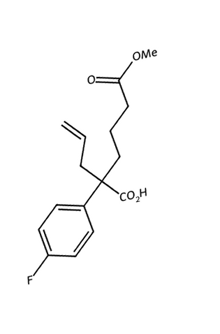 C=CCC(CCCC(=O)OC)(C(=O)O)c1ccc(F)cc1